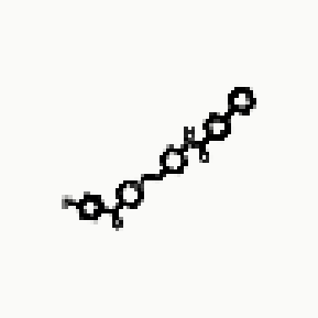 O=C(NC1CCC(CCN2CCC(C(=O)c3ccc(F)cc3)CC2)CC1)c1ccc(-c2ccccc2)cc1